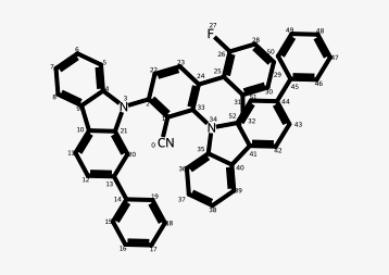 N#Cc1c(-n2c3ccccc3c3ccc(-c4ccccc4)cc32)ccc(-c2c(F)cccc2F)c1-n1c2ccccc2c2ccc(-c3ccccc3)cc21